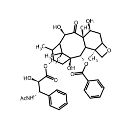 CC(=O)N[C@@H](c1ccccc1)[C@@H](O)C(=O)O[C@H]1C[C@@]2(O)[C@@H](OC(=O)c3ccccc3)C3[C@]4(C)COC4C[C@H](O)[C@@]3(C)C(=O)[C@H](O)C(C1C)C2(C)C